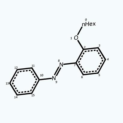 CCCCCCOc1ccccc1N=Nc1ccccc1